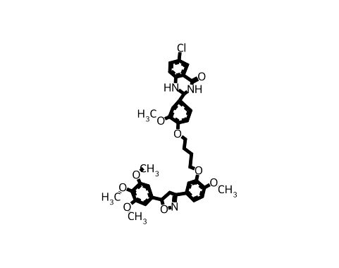 COc1cc(C2NC(=O)c3cc(Cl)ccc3N2)ccc1OCCCCOc1cc(C2=NOC(c3cc(OC)c(OC)c(OC)c3)C2)ccc1OC